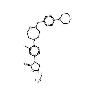 NC[C@H]1CN(c2ccc(N3CCON(Cc4ccc(N5CCOCC5)cc4)CC3)c(F)c2)C(=O)O1